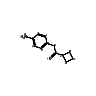 Nc1ccc(CC(=O)N2CCC2)cc1